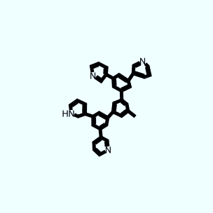 Cc1cc(-c2cc(C3=CC=CNC3)cc(-c3cccnc3)c2)cc(-c2cc(-c3cccnc3)cc(-c3cccnc3)c2)c1